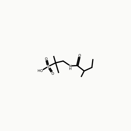 CCC(C)C(=O)NCC(C)(C)S(=O)(=O)O